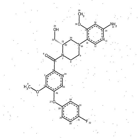 COc1cc(C(=O)N2CCN(c3cnc(N)cc3OC)C[C@H]2CO)ncc1Oc1ccc(F)cc1